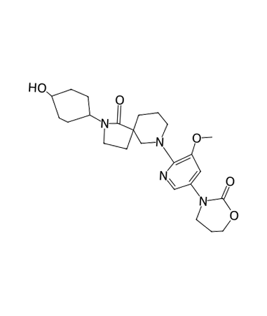 COc1cc(N2CCCOC2=O)cnc1N1CCCC2(CCN(C3CCC(O)CC3)C2=O)C1